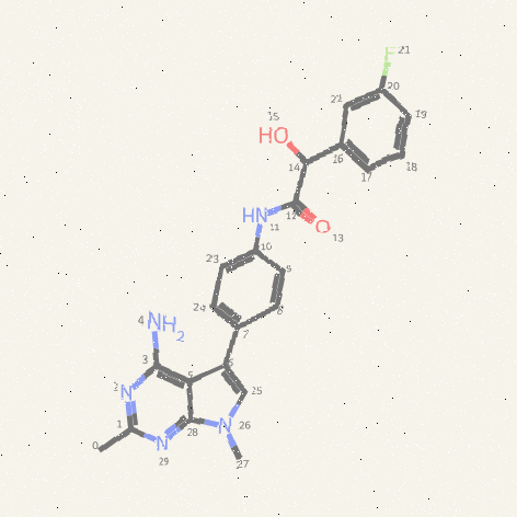 Cc1nc(N)c2c(-c3ccc(NC(=O)C(O)c4cccc(F)c4)cc3)cn(C)c2n1